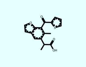 Cc1c(C(C)C(=O)O)cc2ccoc2c1C(=O)c1cccs1